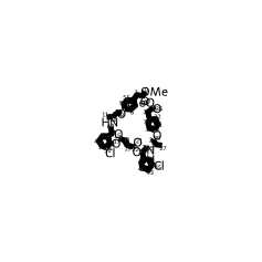 COC(=O)Cc1ccc(OCC(C)NCC(OC(=O)/C=C/C(=O)OC(CNC(C)COc2ccc(CC(=O)OC)cc2)c2cccc(Cl)c2)c2cccc(Cl)c2)cc1